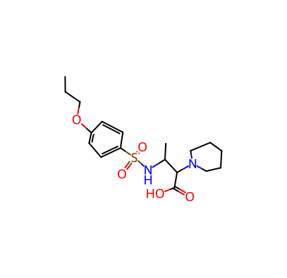 CCCOc1ccc(S(=O)(=O)NC(C)C(C(=O)O)N2CCCCC2)cc1